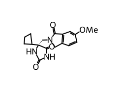 COc1ccc2c(c1)C(=O)N(C[C@@]1(C3CCC3)NC(=O)NC1=O)C2